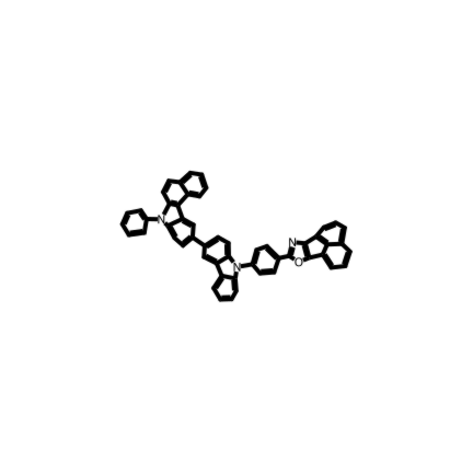 c1ccc(-n2c3ccc(-c4ccc5c(c4)c4ccccc4n5-c4ccc(-c5nc6c(o5)-c5cccc7cccc-6c57)cc4)cc3c3c4ccccc4ccc32)cc1